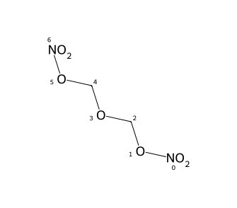 O=[N+]([O-])OCOCO[N+](=O)[O-]